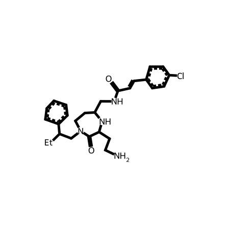 CCC(CN1CCC(CNC(=O)/C=C/c2ccc(Cl)cc2)NC(CCN)C1=O)c1ccccc1